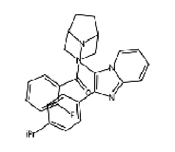 CC(C)c1ccc(-c2nc3ccccn3c2CN2C3CCC2CN(C(=O)c2ccccc2F)C3)cc1